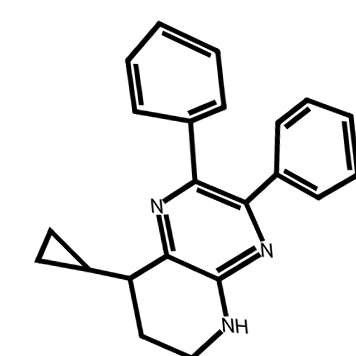 c1ccc(-c2nc3c(nc2-c2ccccc2)C(C2CC2)CCN3)cc1